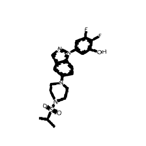 CC(C)S(=O)(=O)N1CCN(c2ccc3c(cnn3-c3cc(O)c(F)c(F)c3)c2)CC1